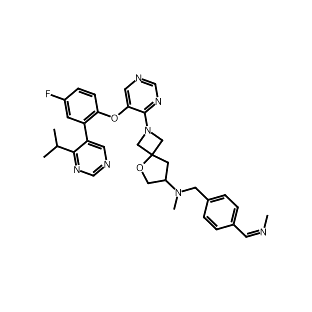 C/N=C\c1ccc(CN(C)C2COC3(C2)CN(c2ncncc2Oc2ccc(F)cc2-c2cncnc2C(C)C)C3)cc1